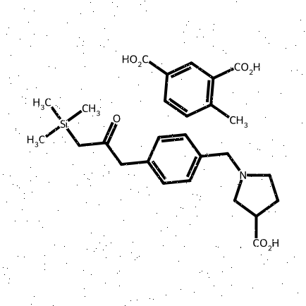 C[Si](C)(C)CC(=O)Cc1ccc(CN2CCC(C(=O)O)C2)cc1.Cc1ccc(C(=O)O)cc1C(=O)O